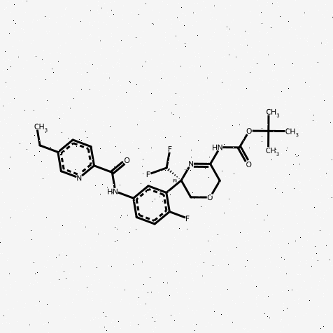 CCc1ccc(C(=O)Nc2ccc(F)c([C@]3(C(F)F)COCC(NC(=O)OC(C)(C)C)=N3)c2)nc1